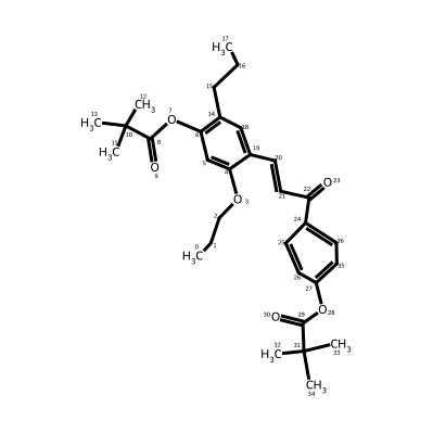 CCCOc1cc(OC(=O)C(C)(C)C)c(CCC)cc1C=CC(=O)c1ccc(OC(=O)C(C)(C)C)cc1